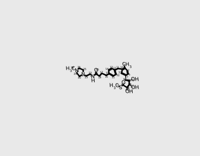 CS[C@H]1O[C@@H](c2ccc(C)c(Cc3ccc(CCCC(=O)NCCN4CCN(C)CC4)cc3)c2)[C@H](O)[C@@H](O)[C@@H]1O